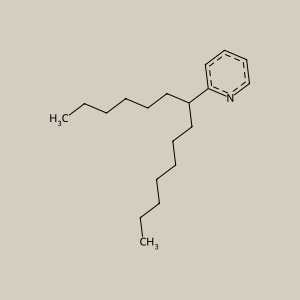 CCCCCCCC(CCCCCC)c1ccccn1